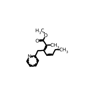 CC/C=C\C(Cc1ccccn1)=C(/C)C(=O)OC